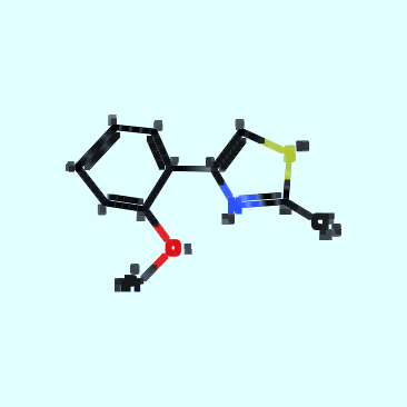 CCCOc1ccccc1-c1csc(C(F)(F)F)n1